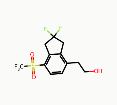 O=S(=O)(c1ccc(CCO)c2c1CC(F)(F)C2)C(F)(F)F